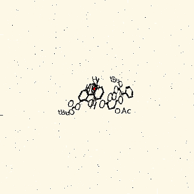 CC(=O)OC(CC(=O)OC1=CC[C@@]2(O)[C@H]3Cc4ccc(OC(=O)OC(C)(C)C)c5c4[C@@]2(CCN3C)[C@H]1O5)C(=O)O[C@H](C(=O)OC(C)(C)C)c1ccccc1